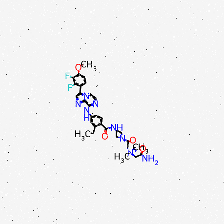 CCc1cc(Nc2nccn3c(-c4ccc(OC)c(F)c4F)cnc23)ccc1C(=O)NC1CN(C(=O)C[N+](C)(C)CC(N)=O)C1